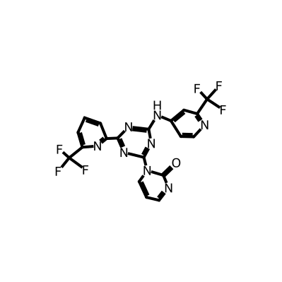 O=c1ncccn1-c1nc(Nc2ccnc(C(F)(F)F)c2)nc(-c2cccc(C(F)(F)F)n2)n1